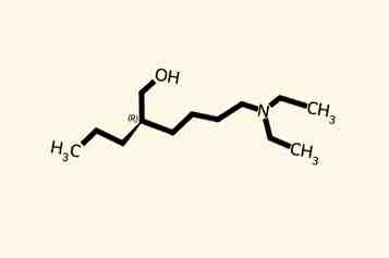 CCC[C@@H](CO)CCCCN(CC)CC